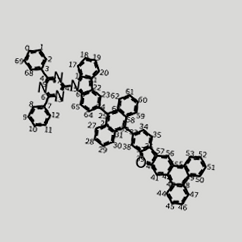 c1ccc(-c2nc(-c3ccccc3)nc(-n3c4ccccc4c4cc(-c5c6ccccc6c(-c6ccc7c(c6)oc6cc8c9ccccc9c9ccccc9c8cc67)c6ccccc56)ccc43)n2)cc1